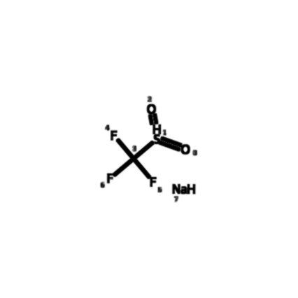 O=[SH](=O)C(F)(F)F.[NaH]